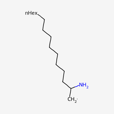 [CH2]C(N)CCCCCCCCCCCCCC